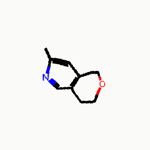 Cc1cc2c(cn1)CCOC2